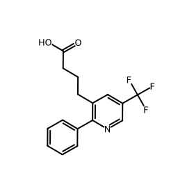 O=C(O)CCCc1cc(C(F)(F)F)cnc1-c1ccccc1